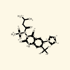 CC(C)CC(=O)N(n1c(=O)[nH]c2cc(C(F)(F)F)c(-n3cnnc3)cc2c1=O)S(C)(=O)=O